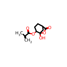 C=C(C)C(=O)OC1CCC2CC1(O)OC2=O